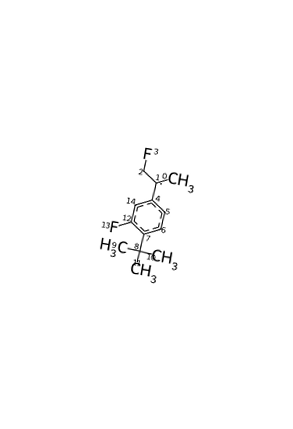 C[C](CF)c1ccc(C(C)(C)C)c(F)c1